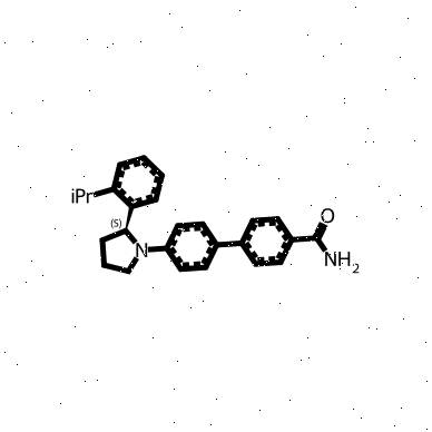 CC(C)c1ccccc1[C@@H]1CCCN1c1ccc(-c2ccc(C(N)=O)cc2)cc1